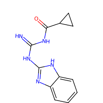 N=C(NC(=O)C1CC1)Nc1nc2ccccc2[nH]1